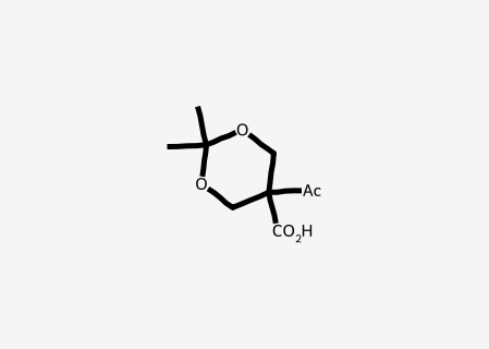 CC(=O)C1(C(=O)O)COC(C)(C)OC1